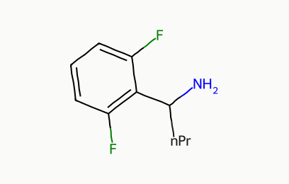 CCCC(N)c1c(F)cccc1F